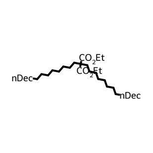 CCCCCCCCCCCCCCCCCCC(CCCCCCCCCCCCCCCCCC)(C(=O)OCC)C(=O)OCC